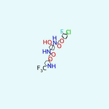 O=C(COC1CCC(C(F)(F)F)NC1)NC12CCC(NC(=O)COc3ccc(Cl)c(F)c3)(CC1)C(O)C2